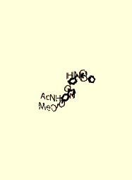 COCCOc1cc2nccc(Oc3ccc(NC(=O)Oc4ccccc4)cc3)c2cc1NC(C)=O